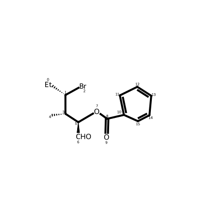 CC[C@H](Br)[C@@H](C)[C@H](C=O)OC(=O)c1ccccc1